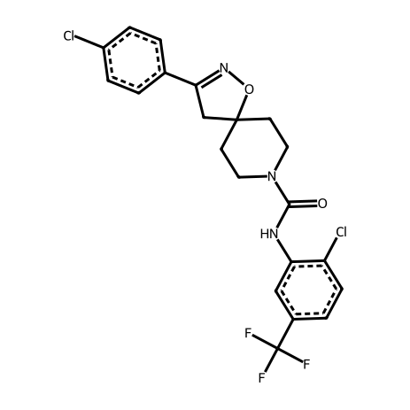 O=C(Nc1cc(C(F)(F)F)ccc1Cl)N1CCC2(CC1)CC(c1ccc(Cl)cc1)=NO2